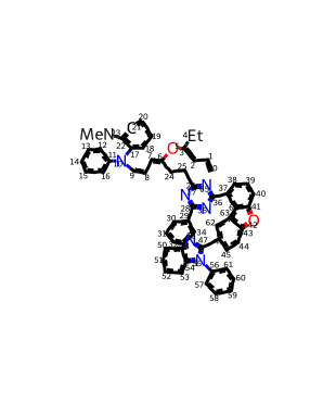 C=C/C=C(\CC)O/C(=C/C=C\N(c1ccccc1)c1ccccc1NC)CCc1nc(-c2ccccc2)nc(-c2cccc3oc4ccc(-c5nc6ccccc6n5-c5ccccc5)cc4c23)n1